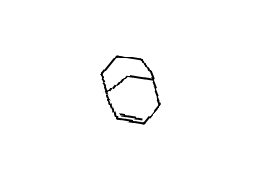 C1=C[C]2CCCC(C1)C2